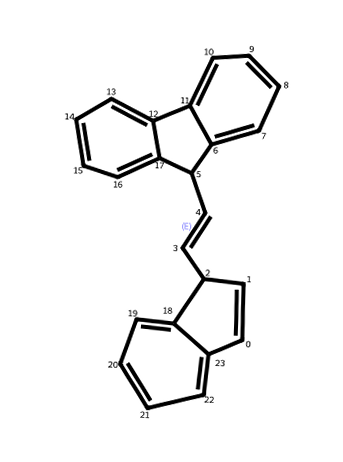 C1=CC(/C=C/C2c3ccccc3-c3ccccc32)c2ccccc21